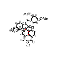 CCN(C(=O)c1ccc(Cl)c(C2(C)C(=O)N(Cc3ccc(OC)cc3OC)c3ccc(Cl)cc32)c1)C(C)c1ccc[n+](CC(=O)O)c1